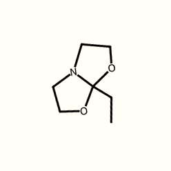 CCC12OCCN1CCO2